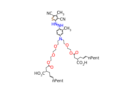 CCCCC/C=C/CC(CC(=O)OCCOCCOCCN(CCOCCOC(=O)CC(C/C=C/CCCCC)C(=O)O)c1ccc(NNc2sc(C#N)c(C)c2C#N)c(C)c1)C(=O)O